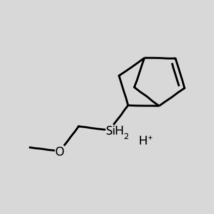 COC[SiH2]C1CC2C=CC1C2.[H+]